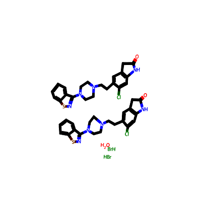 Br.Br.O.O=C1Cc2cc(CCN3CCN(c4nsc5ccccc45)CC3)c(Cl)cc2N1.O=C1Cc2cc(CCN3CCN(c4nsc5ccccc45)CC3)c(Cl)cc2N1